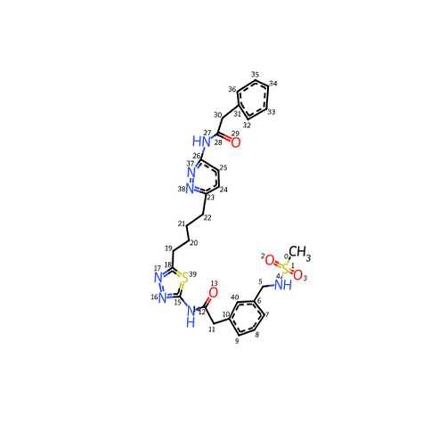 CS(=O)(=O)NCc1cccc(CC(=O)Nc2nnc(CCCCc3ccc(NC(=O)Cc4ccccc4)nn3)s2)c1